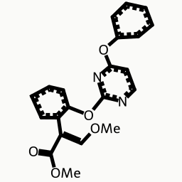 CO/C=C(/C(=O)OC)c1ccccc1Oc1nccc(Oc2ccccc2)n1